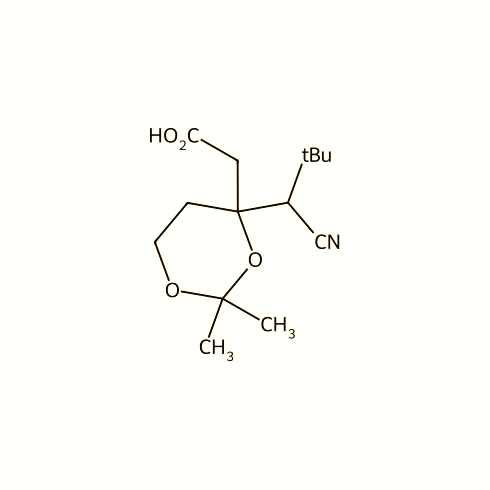 CC1(C)OCCC(CC(=O)O)(C(C#N)C(C)(C)C)O1